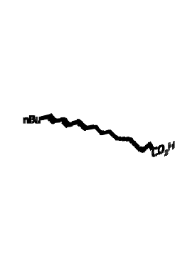 CCCC/C=C/C=C/C=CCCCCCCCC(=O)O